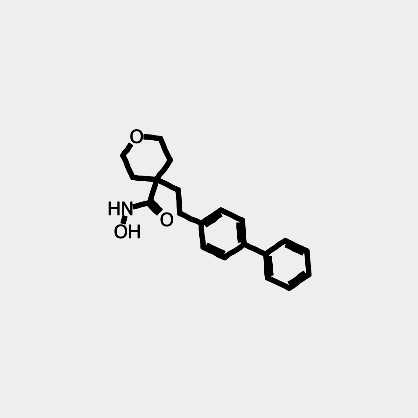 O=C(NO)C1(CCc2ccc(-c3ccccc3)cc2)CCOCC1